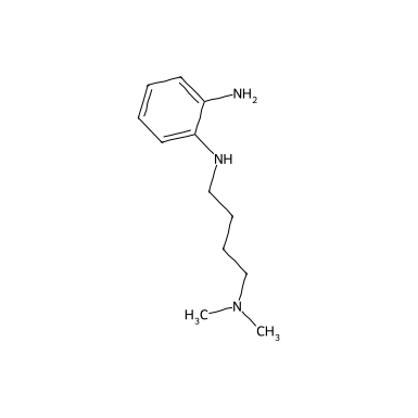 CN(C)CCCCNc1ccccc1N